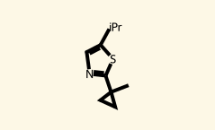 CC(C)c1cnc(C2(C)CC2)s1